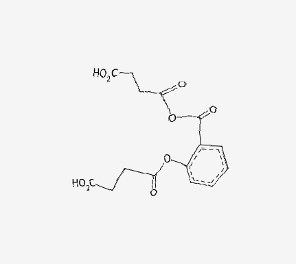 O=C(O)CCC(=O)OC(=O)c1ccccc1OC(=O)CCC(=O)O